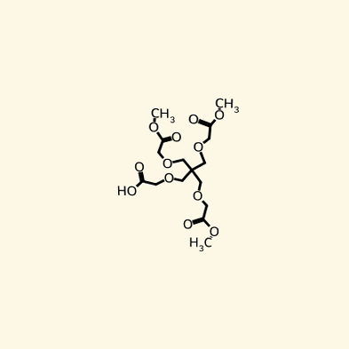 COC(=O)COCC(COCC(=O)O)(COCC(=O)OC)COCC(=O)OC